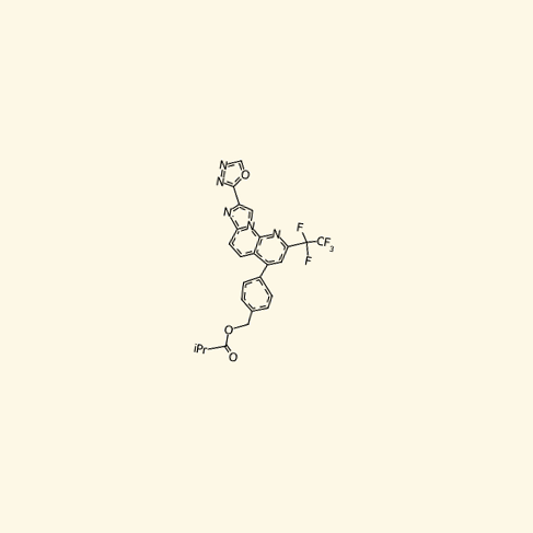 CC(C)C(=O)OCc1ccc(-c2cc(C(F)(F)C(F)(F)F)nc3c2ccc2nc(-c4nnco4)cn23)cc1